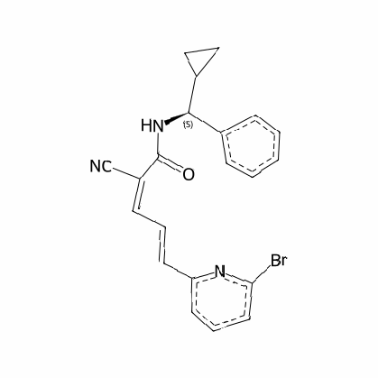 N#CC(=CC=Cc1cccc(Br)n1)C(=O)N[C@H](c1ccccc1)C1CC1